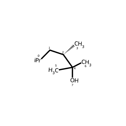 CC(C)C[C@H](C)C(C)(C)O